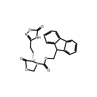 O=C1OCN(C(=O)OCC2c3ccccc3-c3ccccc32)[C@H]1CCc1noc(=O)[nH]1